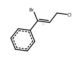 ClC/C=C(\Br)c1ccccc1